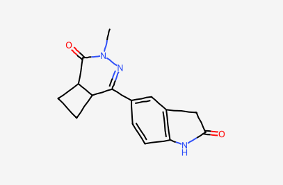 CN1N=C(c2ccc3c(c2)CC(=O)N3)C2CCC2C1=O